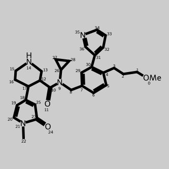 COCCCc1ccc(CN(C(=O)C2CNCCC2c2ccn(C)c(=O)c2)C2CC2)cc1-c1cccnc1